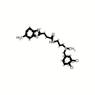 Cc1ccc2nc(CCC(=O)NCCCN(C)Cc3ccc(Cl)c(Cl)c3)oc2c1